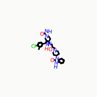 CNC(=O)N1CCc2c(c(-c3ccc(Cl)c(C)c3)nn2CC(O)CN2CCC(n3c(=O)[nH]c4ccccc43)CC2)C1